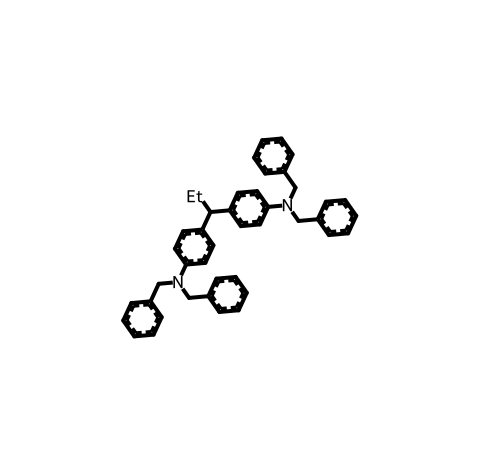 CCC(c1ccc(N(Cc2ccccc2)Cc2ccccc2)cc1)c1ccc(N(Cc2ccccc2)Cc2ccccc2)cc1